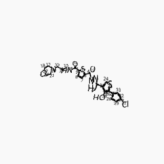 C/C(=N\NC(=O)c1ccc(C(=O)NCCCN2CCOCC2)s1)c1csc(-c2ccc(Cl)cc2)c1O